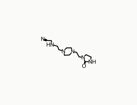 N#CCNCCN1CCN(CCN2CCNC2=O)CC1